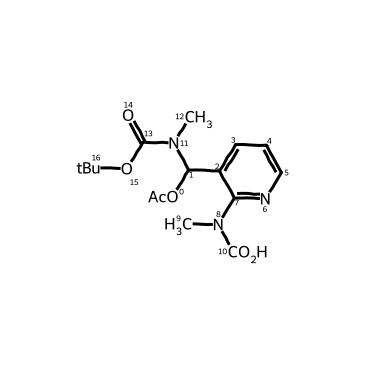 CC(=O)OC(c1cccnc1N(C)C(=O)O)N(C)C(=O)OC(C)(C)C